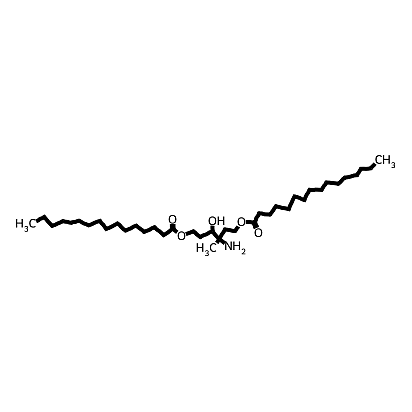 CCCCCCCCCCCCCCCC(=O)OCCC(O)C(C)(N)CCOC(=O)CCCCCCCCCCCCCCC